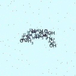 C[C@]12CC[C@H](N(CCN3CC[C@@H](O)C3)C(=O)O)C[C@H]1CC[C@H]1C3=CC[C@H](c4ccc(=O)oc4)[C@@]3(C)CC[C@@H]12